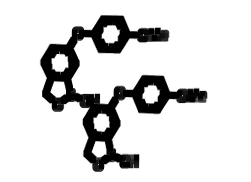 COc1ccc(Oc2ccc3c(c2)B(O)OC3)cc1.COc1ccc(Oc2ccc3c(c2)B(O)OC3)cc1